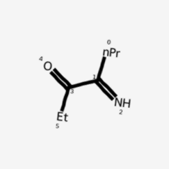 C[CH]CC(=N)C(=O)CC